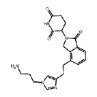 NCCCn1cnc(CCc2cccc3c2CN(C2CCC(=O)NC2=O)C3=O)c1